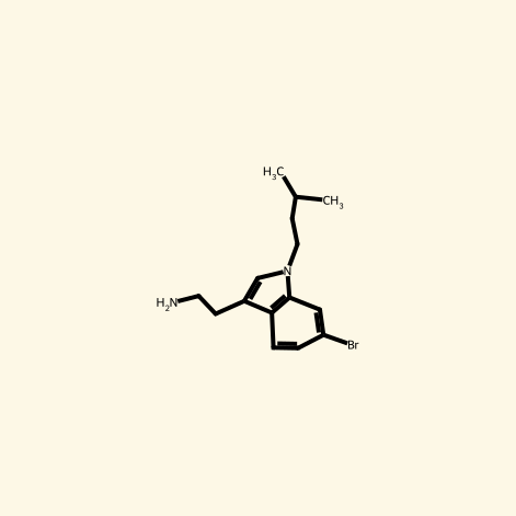 CC(C)CCn1cc(CCN)c2ccc(Br)cc21